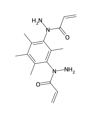 C=CC(=O)N(N)c1c(C)c(C)c(C)c(N(N)C(=O)C=C)c1C